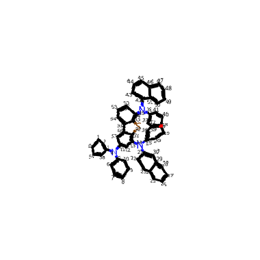 c1ccc(N(c2ccccc2)c2cc(N(c3ccccc3)c3ccc4ccccc4c3)c3sc4c(N(c5ccccc5)c5cccc6ccccc56)cccc4c3c2)cc1